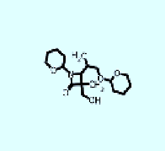 CC(COC1CCCCO1)C1N(C2CCCCO2)C(=O)C1(C)CO